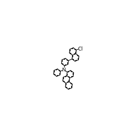 Clc1cccc2c(-c3cccc(N(c4ccccc4)c4cccc5c4ccc4ccccc45)c3)cccc12